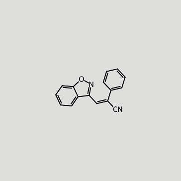 N#CC(=Cc1noc2ccccc12)c1ccccc1